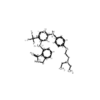 CCN(CC)CCOc1ccc(Nc2ncc(C(F)(F)F)c(Nc3cccc4c3C(=O)NC4)n2)cc1